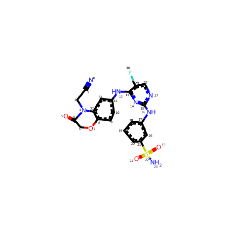 N#CCN1C(=O)COc2ccc(Nc3nc(Nc4cccc(S(N)(=O)=O)c4)ncc3F)cc21